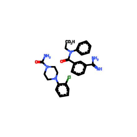 N=C(N)c1cccc(C(=O)N(CC(=O)O)c2ccccc2)c1.NC(=O)N1CCN(c2ccccc2Cl)CC1